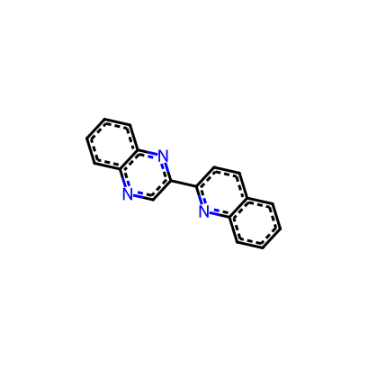 c1ccc2nc(-c3cnc4ccccc4n3)ccc2c1